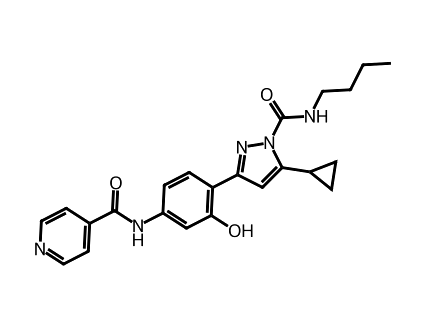 CCCCNC(=O)n1nc(-c2ccc(NC(=O)c3ccncc3)cc2O)cc1C1CC1